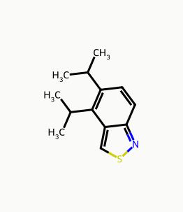 CC(C)c1ccc2nscc2c1C(C)C